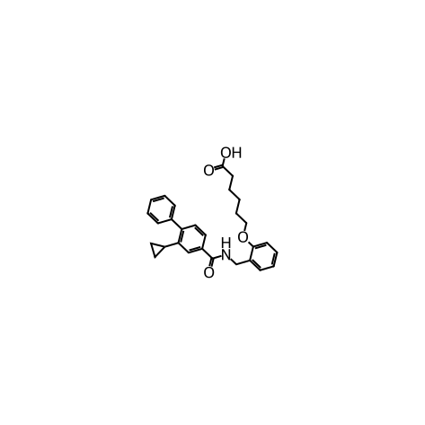 O=C(O)CCCCCOc1ccccc1CNC(=O)c1ccc(-c2ccccc2)c(C2CC2)c1